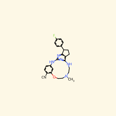 [C-]#[N+]c1ccc2cc1OCCN(C)CCNc1nc(nc3c1CCC3c1ccc(F)cc1)N2